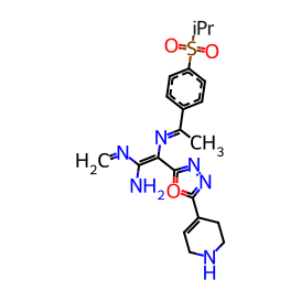 C=N/C(N)=C(\N=C(/C)c1ccc(S(=O)(=O)C(C)C)cc1)c1nnc(C2=CCNCC2)o1